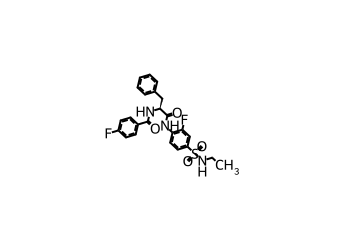 CCNS(=O)(=O)c1ccc(NC(=O)[C@H](Cc2ccccc2)NC(=O)c2ccc(F)cc2)c(F)c1